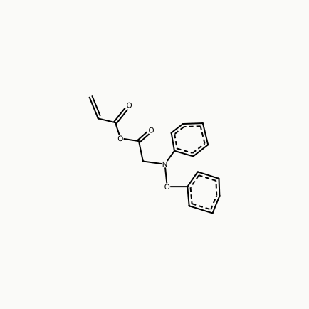 C=CC(=O)OC(=O)CN(Oc1ccccc1)c1ccccc1